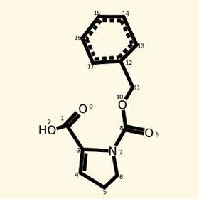 O=C(O)C1=CCCN1C(=O)OCc1ccccc1